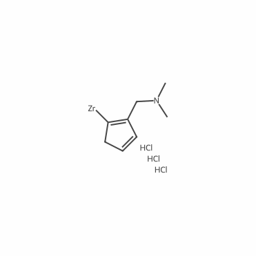 CN(C)CC1=[C]([Zr])CC=C1.Cl.Cl.Cl